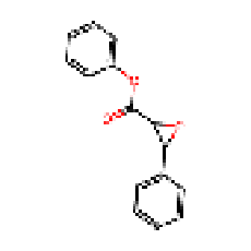 O=C(Oc1ccccc1)C1OC1c1ccccc1